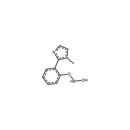 Cn1ccnc1-c1ccccc1OBO